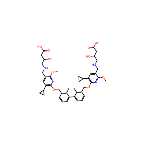 COc1nc(OCc2cccc(-c3cccc(COc4nc(OC)c(CNCC(O)CC(=O)O)cc4C4CC4)c3C)c2C)c(C2CC2)cc1CNCC(O)CC(=O)O